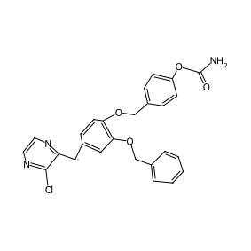 NC(=O)Oc1ccc(COc2ccc([CH]c3nccnc3Cl)cc2OCc2ccccc2)cc1